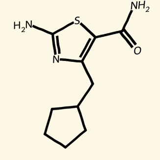 NC(=O)c1sc(N)nc1CC1CCCC1